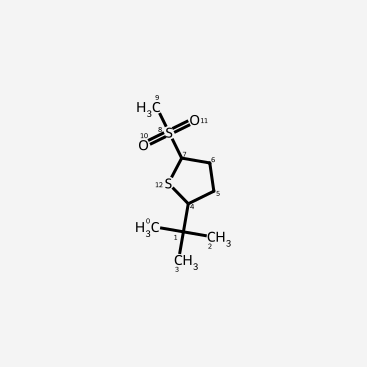 CC(C)(C)C1CCC(S(C)(=O)=O)S1